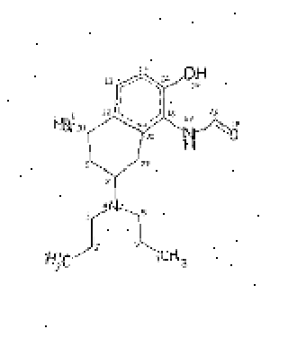 Br.CCCN(CCC)C1CCc2ccc(O)c(NC=O)c2C1